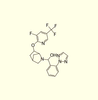 OC(c1ccccc1-n1nccn1)N1CC2CC(Oc3ncc(C(F)(F)F)cc3F)C1C2